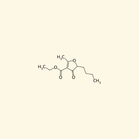 CCCCC1OC(C)=C(C(=O)OCC)C1=O